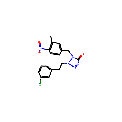 Cc1cc(Cn2c(=O)nnn2CCc2cccc(Cl)c2)ccc1[N+](=O)[O-]